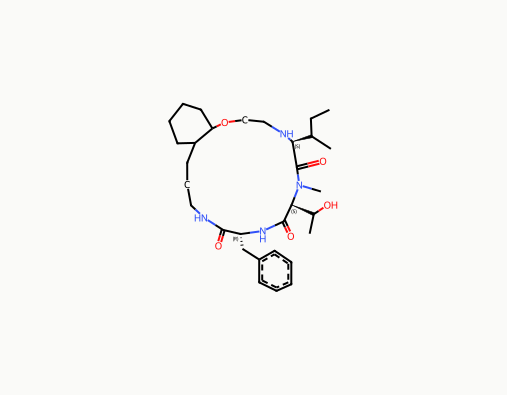 CCC(C)[C@@H]1NCCOC2CCCCC2CCCNC(=O)[C@@H](Cc2ccccc2)NC(=O)[C@H](C(C)O)N(C)C1=O